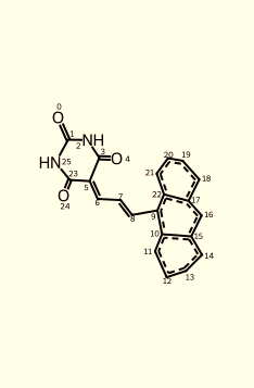 O=C1NC(=O)C(=CC=Cc2c3ccccc3cc3ccccc23)C(=O)N1